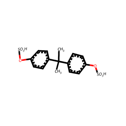 CC(C)(c1ccc(OS(=O)(=O)O)cc1)c1ccc(OS(=O)(=O)O)cc1